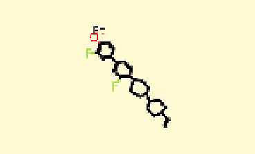 C=CC1CCC(C2CCC(c3ccc(-c4ccc(OCC)c(F)c4)cc3F)CC2)CC1